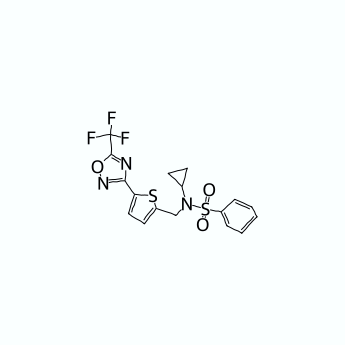 O=S(=O)(c1ccccc1)N(Cc1ccc(-c2noc(C(F)(F)F)n2)s1)C1CC1